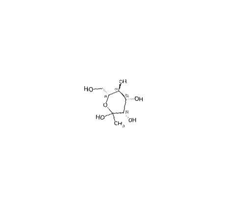 CC1(O)O[C@H](CO)[C@@H](O)[C@H](O)[C@@H]1O